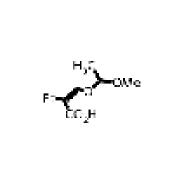 CCC(=COC(C)OC)C(=O)O